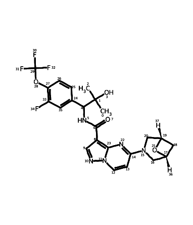 CC(C)(O)C(NC(=O)c1cnn2ccc(N3C[C@H]4C[C@@H](C3)O4)nc12)c1ccc(OC(F)(F)F)c(F)c1